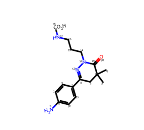 CC1(C)CC(c2ccc(N)cc2)=NN(CCCNC(=O)O)C1=O